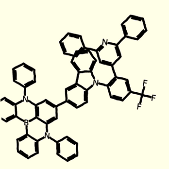 FC(F)(F)c1ccc(-n2c3ccccc3c3cc(-c4cc5c6c(c4)N(c4ccccc4)c4ccccc4B6c4ccccc4N5c4ccccc4)ccc32)c(-c2cc(-c3ccccc3)nc(-c3ccccc3)c2)c1